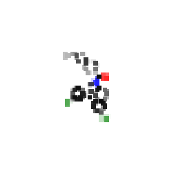 O=C(O)[C@H]1CC[C@H](C(=O)N2CCC3(Cc4cccc(F)c4)c4ccc(Br)cc4CCC23)CC1